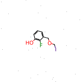 Oc1cccc(COCI)c1F